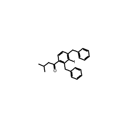 CC(C)CC(=O)c1ccc(Cc2ccccc2)c(I)c1Cc1ccccc1